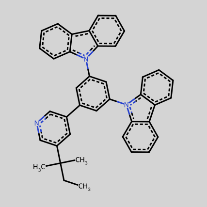 CCC(C)(C)c1cncc(-c2cc(-n3c4ccccc4c4ccccc43)cc(-n3c4ccccc4c4ccccc43)c2)c1